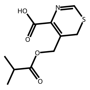 CC(C)C(=O)OCC1=C(C(=O)O)N=CSC1